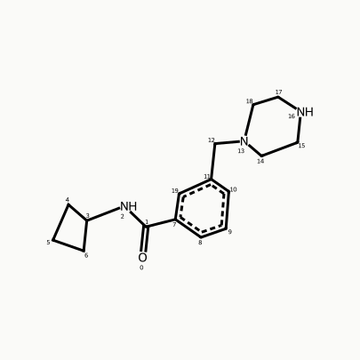 O=C(NC1CCC1)c1cccc(CN2CCNCC2)c1